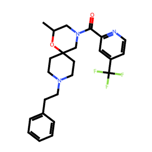 CC1CN(C(=O)c2cc(C(F)(F)F)ccn2)CC2(CCN(CCc3ccccc3)CC2)O1